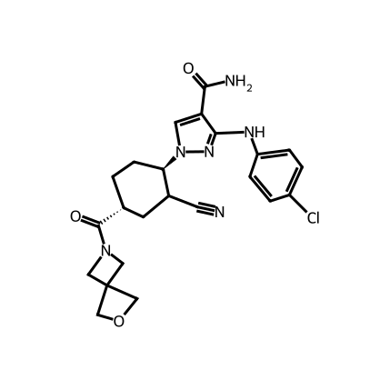 N#CC1C[C@H](C(=O)N2CC3(COC3)C2)CC[C@H]1n1cc(C(N)=O)c(Nc2ccc(Cl)cc2)n1